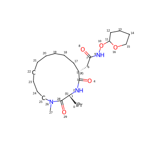 CC(C)[C@@H]1NC(=O)[C@@H](CC(=O)NOC2CCCCO2)CCCCCCCCCN(C)C1=O